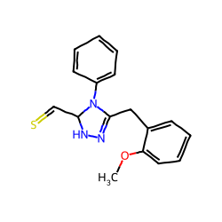 COc1ccccc1CC1=NNC(C=S)N1c1ccccc1